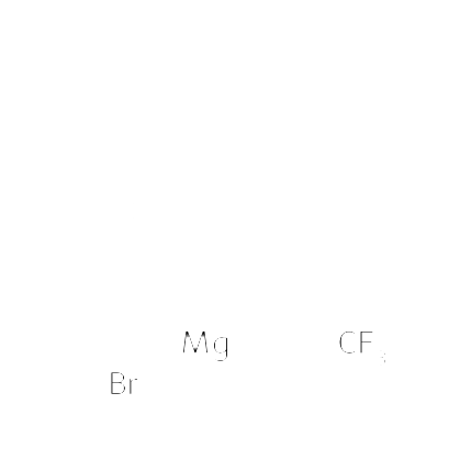 FC(F)(F)[CH](Cc1ccccc1)[Mg][Br]